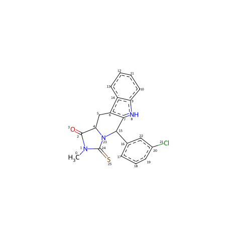 CN1C(=O)C2Cc3c([nH]c4ccccc34)C(c3cccc(Cl)c3)N2C1=S